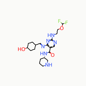 O=C(N[C@H]1CCCNC1)c1cnc(NCCOC(F)F)nc1/N=C/C1CCC(O)CC1